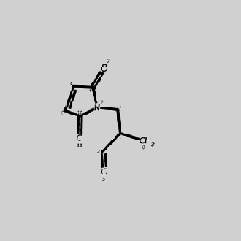 CC(C=O)CN1C(=O)C=CC1=O